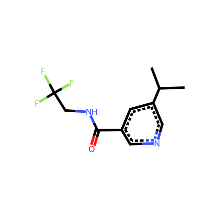 CC(C)c1cncc(C(=O)NCC(F)(F)F)c1